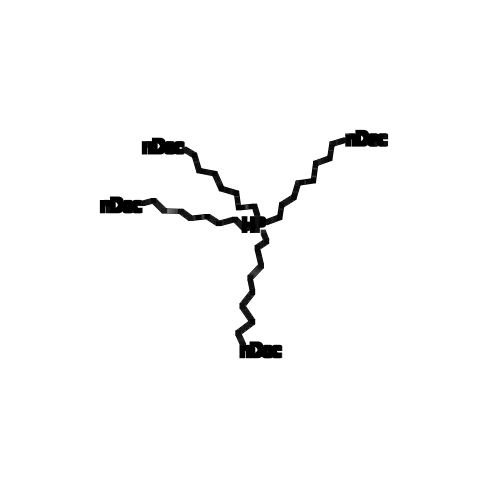 CCCCCCCCCCCCCCCCCC[PH](CCCCCCCCCCCCCCCCC)(CCCCCCCCCCCCCCCCCC)CCCCCCCCCCCCCCCCCC